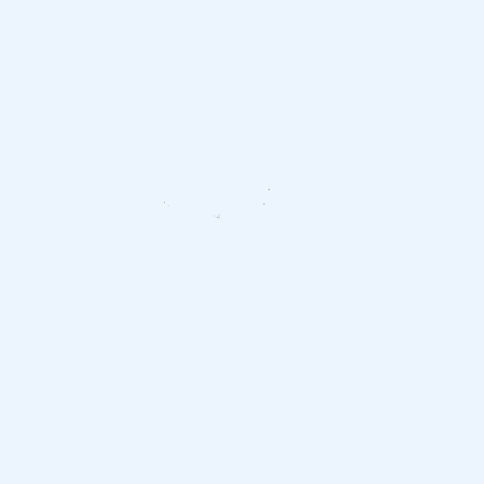 Cl.Cl.NC(=O)CNCCOc1ccc(Cl)cc1C(=O)c1ccccc1